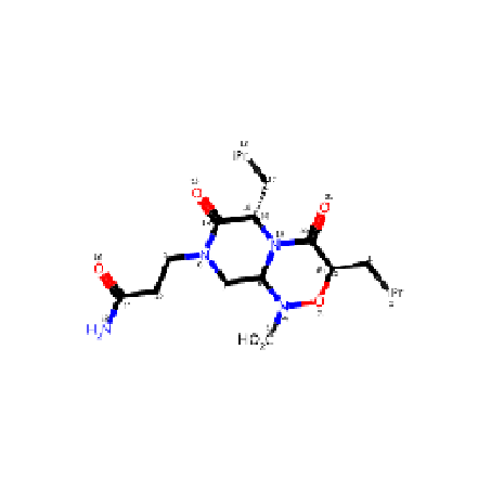 CC(C)C[C@H]1ON(C(=O)O)C2CN(CCC(N)=O)C(=O)[C@H](CC(C)C)N2C1=O